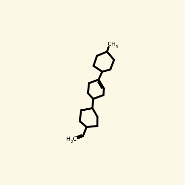 C=CC1CCC(C2CC=C(C3CCC(C)CC3)CC2)CC1